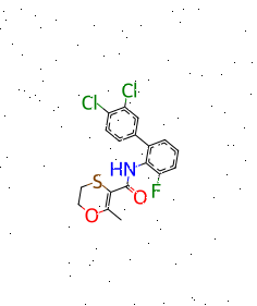 CC1=C(C(=O)Nc2c(F)cccc2-c2ccc(Cl)c(Cl)c2)SCCO1